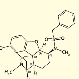 CN1CC[C@@]23c4c5ccc(O)c4C[C@@H]1[C@@H]2CC[C@H](N(C)S(=O)(=O)Cc1ccccc1)[C@@H]3O5